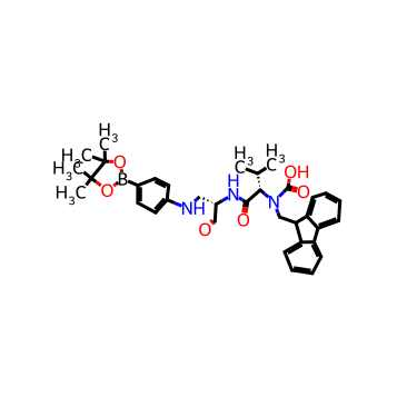 CC(C)[C@@H](C(=O)N[C@H](C=O)CNc1ccc(B2OC(C)(C)C(C)(C)O2)cc1)N(CC1c2ccccc2-c2ccccc21)C(=O)O